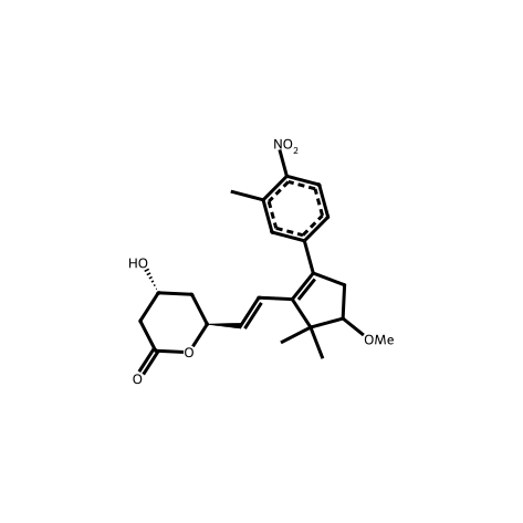 COC1CC(c2ccc([N+](=O)[O-])c(C)c2)=C(/C=C/[C@@H]2C[C@@H](O)CC(=O)O2)C1(C)C